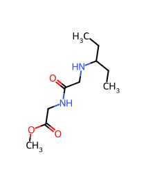 CCC(CC)NCC(=O)NCC(=O)OC